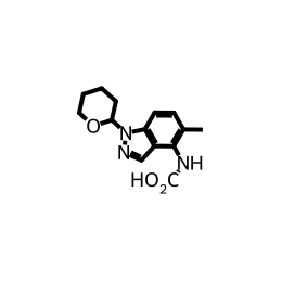 Cc1ccc2c(cnn2C2CCCCO2)c1NC(=O)O